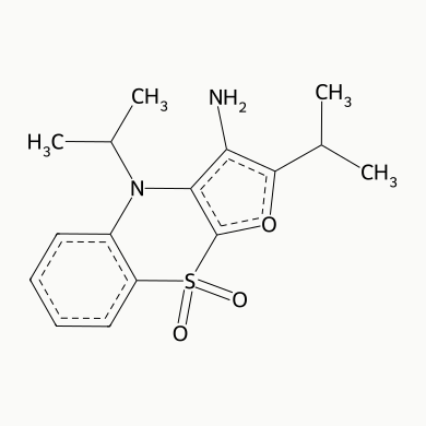 CC(C)c1oc2c(c1N)N(C(C)C)c1ccccc1S2(=O)=O